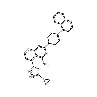 Nc1nc(N2CC=C(c3cccc4ccccc34)CC2)nc2cccc(-c3cc(C4CC4)[nH]n3)c12